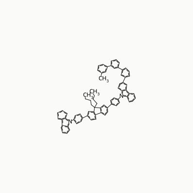 CCCCC1(CCCC)c2cc(-c3ccc(-n4c5ccccc5c5ccccc54)cc3)ccc2-c2ccc(-c3ccc(-n4c5ccccc5c5cc(-c6cccc(-c7cccc(-c8cccc(C)c8)c7)c6)ccc54)cc3)cc21